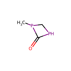 CP1CPC1=O